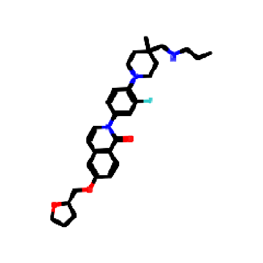 CCCNCC1(C)CCN(c2ccc(-n3ccc4cc(OC[C@H]5CCCO5)ccc4c3=O)cc2F)CC1